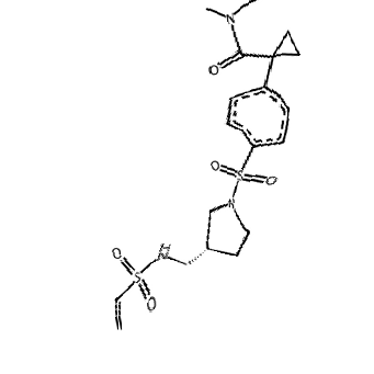 C=CS(=O)(=O)NC[C@H]1CCN(S(=O)(=O)c2ccc(C3(C(=O)N(C)C)CC3)cc2)C1